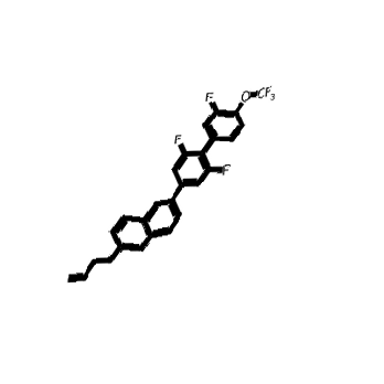 C=CCCc1ccc2cc(-c3cc(F)c(-c4ccc(OC(F)(F)F)c(F)c4)c(F)c3)ccc2c1